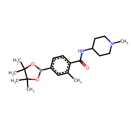 Cc1cc(B2OC(C)(C)C(C)(C)O2)ccc1C(=O)NC1CCN(C)CC1